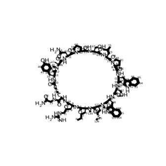 CCCC[C@H]1C(=O)N[C@@H](CCCNC(=N)N)C(=O)NC(C(=O)NCC(N)=O)CSCC(=O)N[C@@H](Cc2ccc(O)cc2)C(=O)N(C)[C@@H](C)C(=O)N[C@@H](CC(N)=O)C(=O)N2CCC[C@H]2C(=O)N[C@@H](CO)C(=O)N[C@@H](CC(C)C)C(=O)N2CCC[C@H]2C(=O)N[C@@H](Cc2c[nH]c3ccccc23)C(=O)N[C@@H](CO)C(=O)N[C@@H](Cc2c[nH]c3ccccc23)C(=O)N(C)[C@@H](CCSC)C(=O)N1C